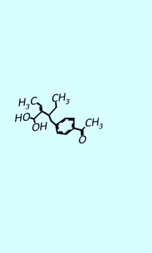 CC=C(C(O)O)C(CC)Cc1ccc(C(C)=O)cc1